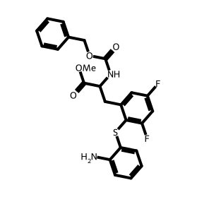 COC(=O)C(Cc1cc(F)cc(F)c1Sc1ccccc1N)NC(=O)OCc1ccccc1